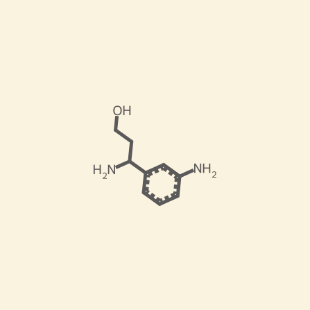 Nc1cccc(C(N)CCO)c1